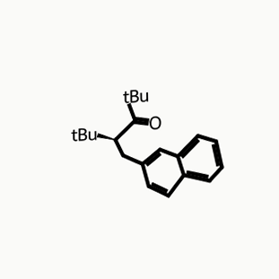 CC(C)(C)C(=O)[C@@H](Cc1ccc2ccccc2c1)C(C)(C)C